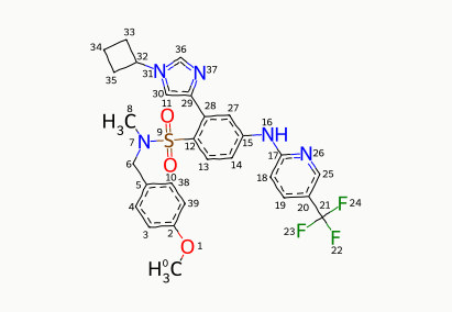 COc1ccc(CN(C)S(=O)(=O)c2ccc(Nc3ccc(C(F)(F)F)cn3)cc2-c2cn(C3CCC3)cn2)cc1